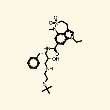 CCn1cc2c3c(cc(C(=O)N[C@@H](Cc4ccccc4)[C@H](O)CNCCSC(C)(C)C)cc31)N(C)S(=O)(=O)CC2